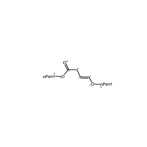 CCCCCOC=CCC(=O)OCCCCC